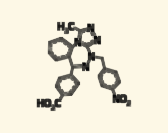 Cc1nnc2n1-c1ccccc1C(c1ccc(C(=O)O)cc1)=NN2Cc1ccc([N+](=O)[O-])cc1